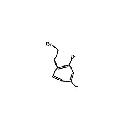 Fc1ccc(CCBr)c(Br)c1